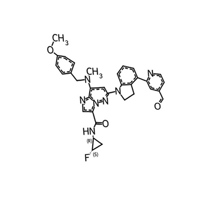 COc1ccc(CN(C)c2cc(N3CCc4c(-c5cc(C=O)ccn5)cccc43)nn3c(C(=O)N[C@@H]4C[C@@H]4F)cnc23)cc1